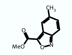 COC(=O)c1onc2ccc(C)cc12